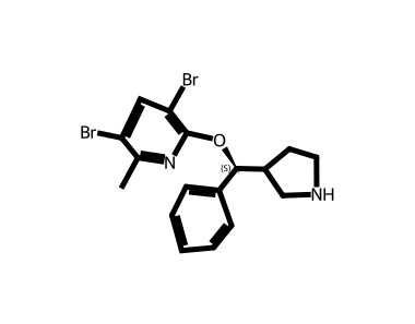 Cc1nc(O[C@H](c2ccccc2)C2CCNC2)c(Br)cc1Br